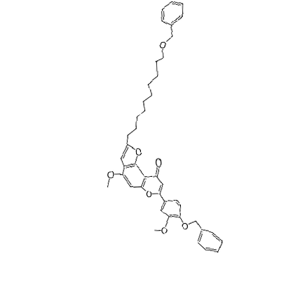 COc1cc(-c2cc(=O)c3c(cc(OC)c4cc(CCCCCCCCCCOCc5ccccc5)oc43)o2)ccc1OCc1ccccc1